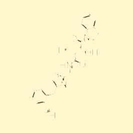 COc1ccccc1Cc1csc(CNC(=O)[C@H](O)[C@@H](O)C(=O)N2CCc3ccccc32)n1